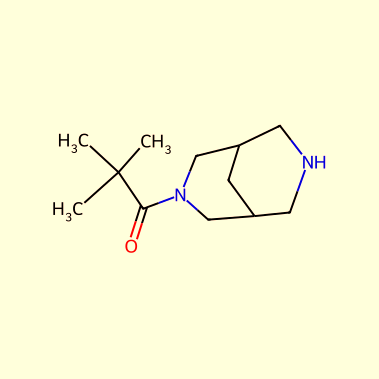 CC(C)(C)C(=O)N1CC2CNCC(C2)C1